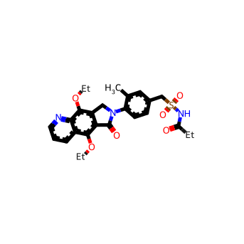 CCOc1c2c(c(OCC)c3ncccc13)CN(c1ccc(CS(=O)(=O)NC(=O)CC)cc1C)C2=O